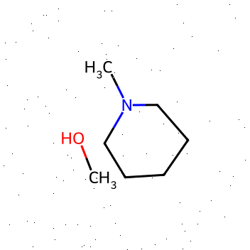 CN1CCCCC1.CO